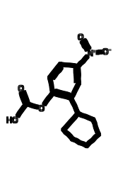 O=C(O)Oc1ccc([N+](=O)[O-])cc1C1CCCCC1